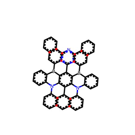 c1ccc(B2c3ccccc3N(c3ccccc3)c3c2c(-c2nc(-c4ccccc4)nc(-c4ccccc4)n2)c2c(c3-c3ccccc3)N(c3ccccc3)c3ccccc3B2c2ccccc2)cc1